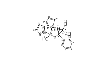 CC(C)(C[C]1(c2ccccc2)[N](n2cccc2)[Cr]1([Cl])[Cl])C1=CC=CC1